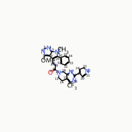 COc1ncnc2c1c(/C=C/C(=O)N1CCc3c(nc(-c4ccncc4)nc3C(F)(F)F)C1)c(-c1ccccc1)n2C